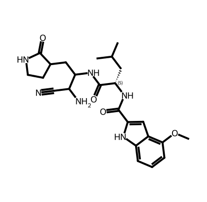 COc1cccc2[nH]c(C(=O)N[C@@H](CC(C)C)C(=O)NC(CC3CCNC3=O)C(N)C#N)cc12